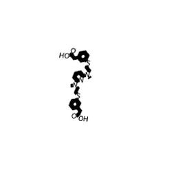 CN(CCSc1cccc(CC(=O)O)c1)c1cccc(N(C)CCSc2cccc(CC(=O)O)c2)n1